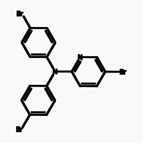 Brc1ccc(N(c2ccc(Br)cc2)c2ccc(Br)cn2)cc1